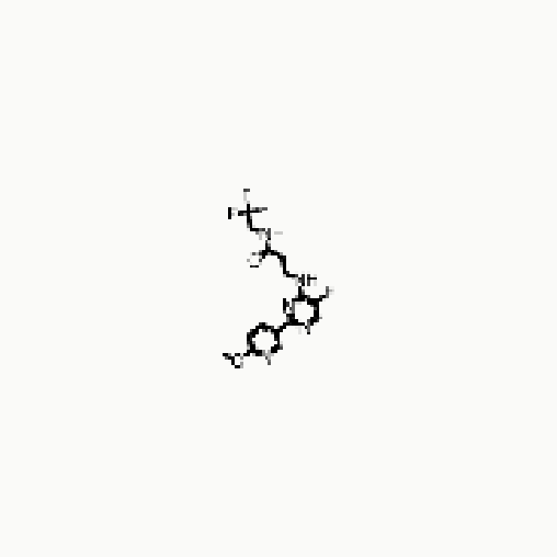 COc1ccc(-c2ncc(F)c(NCCC(=O)NCC(F)(F)F)n2)cn1